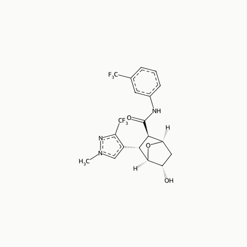 Cn1cc([C@H]2[C@H]3O[C@H](C[C@@H]3O)[C@@H]2C(=O)Nc2cccc(C(F)(F)F)c2)c(C(F)(F)F)n1